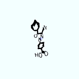 N#CC(/N=N/c1ccc(C(=O)O)cc1)C(=O)c1ccccc1